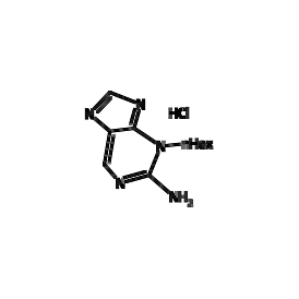 CCCCCCn1c(N)ncc2ncnc1-2.Cl